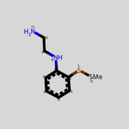 CSSc1ccccc1NCCN